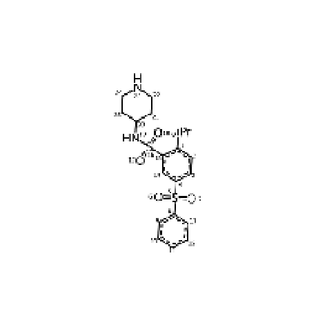 CC(C)c1ccc(S(=O)(=O)c2ccccc2)cc1S(=O)(=O)NC1CCNCC1